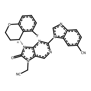 N#CCn1c(=O)n([C@@H]2CCOc3cccc(F)c32)c2nc(-n3cnc4ccc(C#N)cc43)ncc21